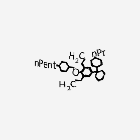 C=CCc1cc(C2(C3CCC(CCC)CC3)CCCCC2)cc(CC=C)c1OCC1CCC(CCCCC)CC1